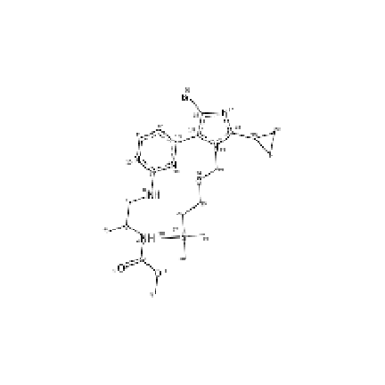 COC(=O)NC(C)CNc1nccc(-c2c(Br)nc(C3CC3)n2COCC[Si](C)(C)C)n1